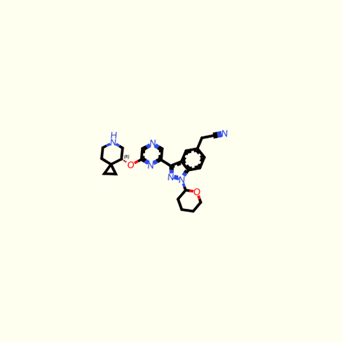 N#CCc1ccc2c(c1)c(-c1cncc(O[C@H]3CNCCC34CC4)n1)nn2C1CCCCO1